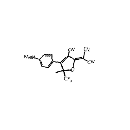 CNc1ccc(C2=C(C#N)C(=C(C#N)C#N)OC2(C)C(F)(F)F)cc1